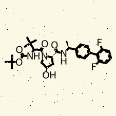 C[C@H](NC(=O)[C@@H]1C[C@@H](O)CN1C(=O)C(NC(=O)OC(C)(C)C)C(C)(C)C)c1ccc(-c2c(F)cccc2F)cc1